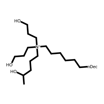 CCCCCCCCCCCCCCCC[N+](CCCO)(CCCO)CCCC(C)O